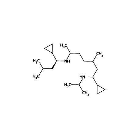 CC(C)C[C@H](NC(C)CCC(C)CC(NC(C)C)C1CC1)C1CC1